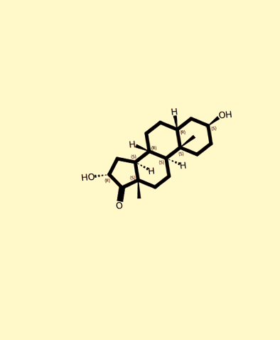 C[C@]12CC[C@H](O)C[C@H]1CC[C@@H]1[C@@H]2CC[C@]2(C)C(=O)[C@H](O)C[C@@H]12